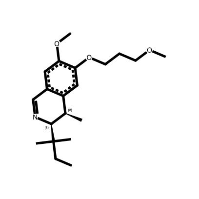 CCC(C)(C)[C@H]1N=Cc2cc(OC)c(OCCCOC)cc2[C@H]1C